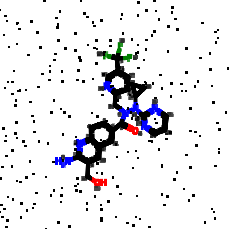 Nc1nc2ccc(C(=O)N(Cc3ccc(C(F)(F)F)cn3)N(c3ncccn3)C3CC3)cc2cc1CO